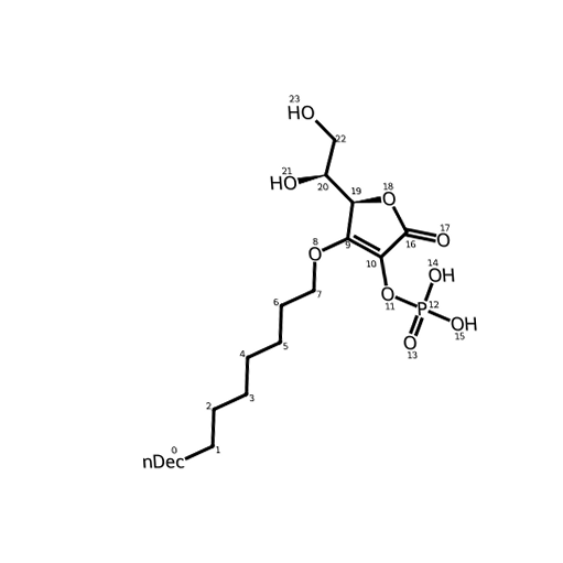 CCCCCCCCCCCCCCCCCOC1=C(OP(=O)(O)O)C(=O)O[C@@H]1[C@@H](O)CO